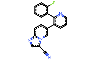 N#Cc1cnc2ccc(-c3cccnc3-c3ccccc3F)cn12